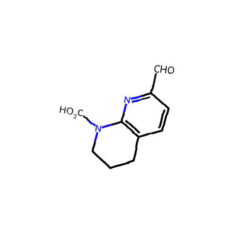 O=Cc1ccc2c(n1)N(C(=O)O)CCC2